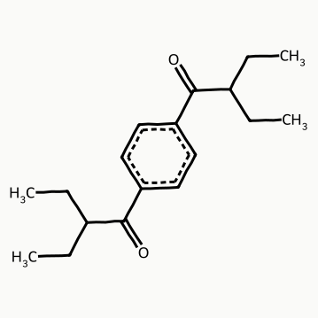 CCC(CC)C(=O)c1ccc(C(=O)C(CC)CC)cc1